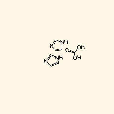 O=C(O)O.c1c[nH]cn1.c1c[nH]cn1